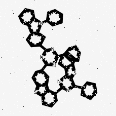 c1ccc(-c2nc(-c3ccc4sc5cccc(-c6nc(-c7ccccc7)c7sc8ccccc8c7n6)c5c4c3)nc(-c3ccc4c5ccccc5n(-c5ccccc5)c4c3)n2)cc1